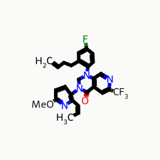 C=CCCc1cc(F)ccc1N1CN(c2ccc(OC)nc2/C=C\C)C(=O)c2cc(C(F)(F)F)ncc21